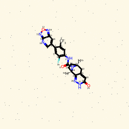 O=C(Nc1cc(C(F)(F)F)c(-c2cnc3nonc3c2)cc1F)N1[C@H]2CC[C@@H]1c1n[nH]c(=O)cc1C2